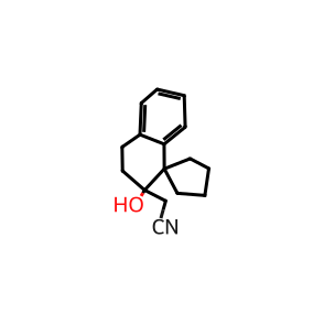 N#CCC1(O)CCc2ccccc2C12CCCC2